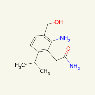 CC(C)c1ccc(CO)c(N)c1CC(N)=O